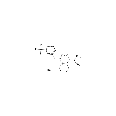 CC(C1CCCCN1C(=O)Cc1cccc(C(F)(F)F)c1)N(C)C.Cl